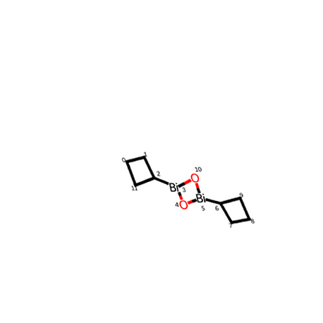 C1C[CH]([Bi]2[O][Bi]([CH]3CCC3)[O]2)C1